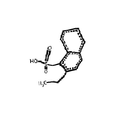 CCc1ccc2ccccc2c1S(=O)(=O)O